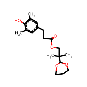 Cc1cc(CCC(=O)OCC(C)(C)C2OCCCO2)cc(C)c1O